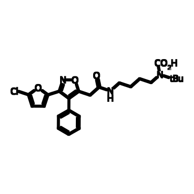 CC(C)(C)N(CCCCNC(=O)Cc1onc(-c2ccc(Cl)o2)c1-c1ccccc1)C(=O)O